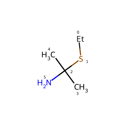 CCSC(C)(C)N